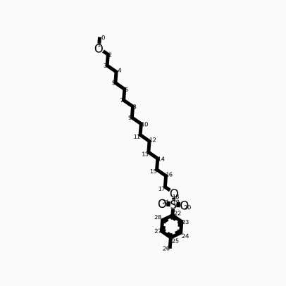 COCCCCCCCCCCCCCCCCOS(=O)(=O)c1ccc(C)cc1